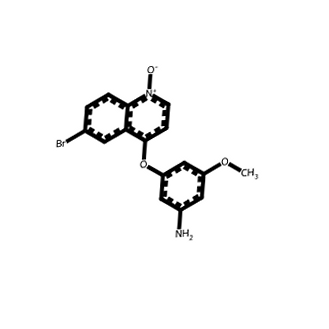 COc1cc(N)cc(Oc2cc[n+]([O-])c3ccc(Br)cc23)c1